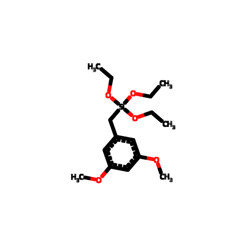 CCO[Si](Cc1cc(OC)cc(OC)c1)(OCC)OCC